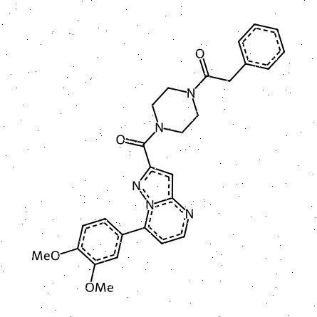 COc1ccc(-c2ccnc3cc(C(=O)N4CCN(C(=O)Cc5ccccc5)CC4)nn23)cc1OC